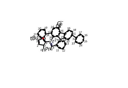 CCCC1C=C(C(C)(C)C)C=[C]1/[Zr+2](=[C](\C)c1ccccc1)[c]1c(-c2ccccc2)ccc2c1Cc1cc(-c3ccccc3)ccc1-2.[Cl-].[Cl-]